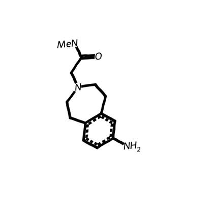 CNC(=O)CN1CCc2ccc(N)cc2CC1